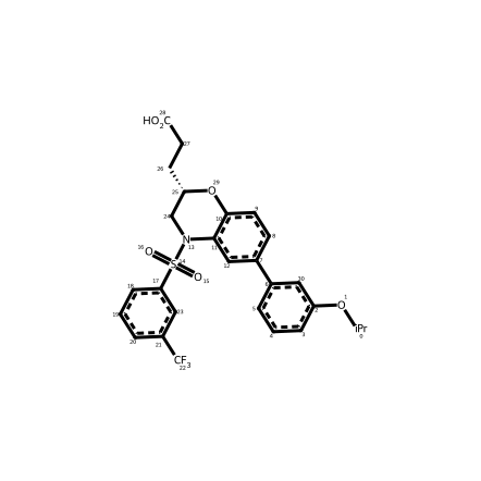 CC(C)Oc1cccc(-c2ccc3c(c2)N(S(=O)(=O)c2cccc(C(F)(F)F)c2)C[C@H](CCC(=O)O)O3)c1